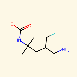 CC(C)(CC(CN)CF)NC(=O)O